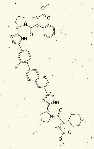 COC(=O)N[C@H](C(=O)N1CCC[C@H]1c1nc(-c2ccc3cc(-c4ccc(-c5cnc([C@@H]6CCCN6C(=O)[C@H](NC(=O)OC)c6ccccc6)[nH]5)cc4F)ccc3c2)c[nH]1)C1CCOCC1